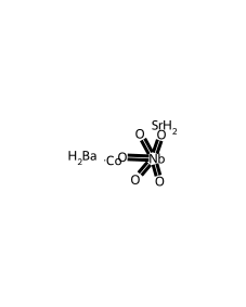 [BaH2].[Co].[O]=[Nb](=[O])(=[O])(=[O])=[O].[SrH2]